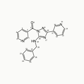 O=C(c1cccnc1)n1nc(-c2cccnc2)nc1NCc1ccccc1